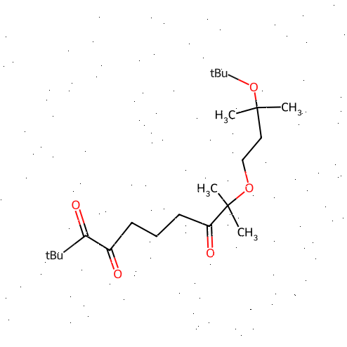 CC(C)(C)OC(C)(C)CCOC(C)(C)C(=O)CCCC(=O)C(=O)C(C)(C)C